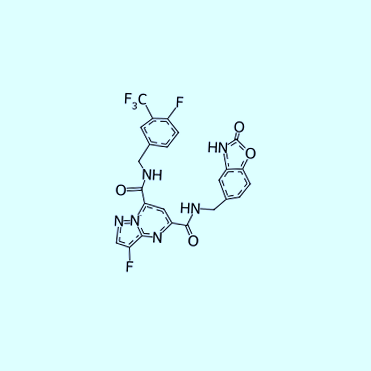 O=C(NCc1ccc2oc(=O)[nH]c2c1)c1cc(C(=O)NCc2ccc(F)c(C(F)(F)F)c2)n2ncc(F)c2n1